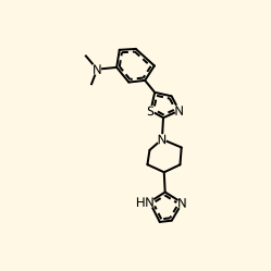 CN(C)c1cccc(-c2cnc(N3CCC(c4ncc[nH]4)CC3)s2)c1